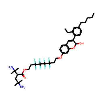 CCCCCc1ccc(C2=Cc3ccc(OCCC(F)(F)C(F)(F)C(F)(F)C(F)(F)CCOC(=O)C(CC(C)(C)N)C(C)(C)N)cc3OC2O)c(CC)c1